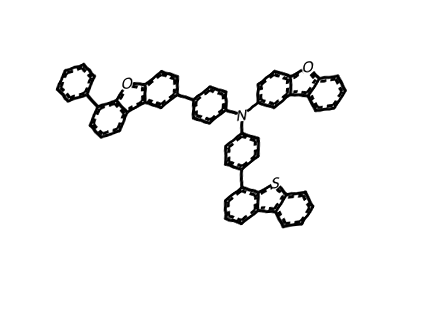 c1ccc(-c2cccc3c2oc2ccc(-c4ccc(N(c5ccc(-c6cccc7c6sc6ccccc67)cc5)c5ccc6oc7ccccc7c6c5)cc4)cc23)cc1